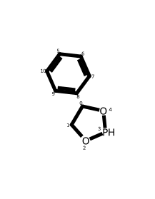 C1COPO1.c1ccccc1